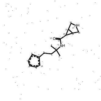 CC(C)(CCc1ccccc1)NC(=O)C1C2CNCC21